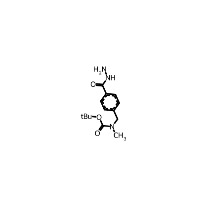 CN(Cc1ccc(C(=O)NN)cc1)C(=O)OC(C)(C)C